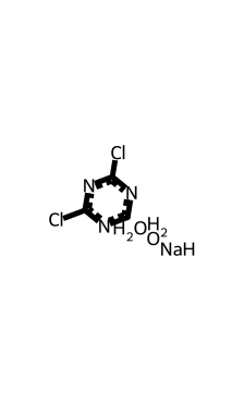 Clc1ncnc(Cl)n1.O.O.[NaH]